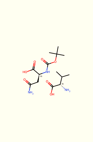 CC(C)(C)OC(=O)N[C@@H](CC(N)=O)C(=O)O.CC(C)[C@H](N)C(=O)O